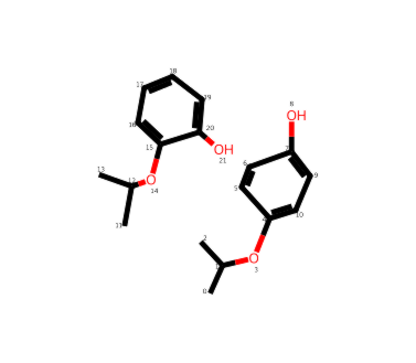 CC(C)Oc1ccc(O)cc1.CC(C)Oc1ccccc1O